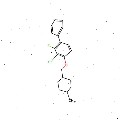 CC1CCC(COc2ccc(-c3ccccc3)c(F)c2Cl)CC1